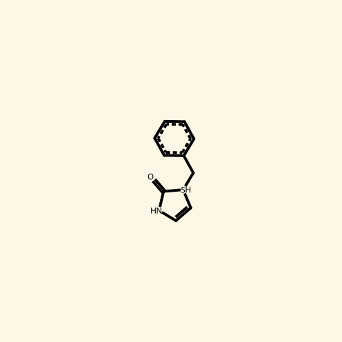 O=C1NC=C[SH]1Cc1ccccc1